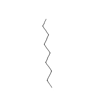 [CH2]CCCCCCCCCCCCCC(F)(F)F